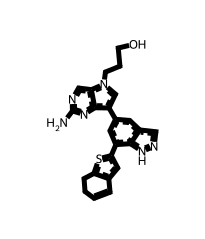 Nc1ncc2c(n1)c(-c1cc(-c3cc4c(s3)CCC=C4)c3[nH]ncc3c1)cn2CCCO